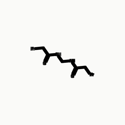 CC(C)CC(=O)NCNC(=O)CC(C)C